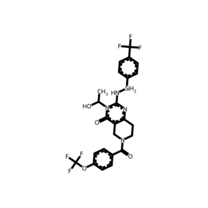 CC(O)n1c(N[SiH2]c2ccc(C(F)(F)F)cc2)nc2c(c1=O)CN(C(=O)c1ccc(OC(F)(F)F)cc1)CC2